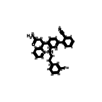 N#Cc1ccccc1-c1ccc(C(CC(N)=O)c2ccccn2)c(NCCc2cccc(F)c2)n1